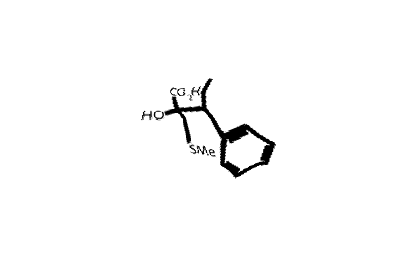 CSC(O)(C(=O)O)C(C)c1ccccc1